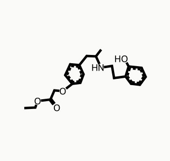 CCOC(=O)COc1ccc(CC(C)NCCc2ccccc2O)cc1